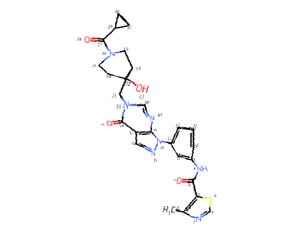 Cc1ncsc1C(=O)Nc1cccc(-n2ncc3c(=O)n(CC4(O)CCN(C(=O)C5CC5)CC4)cnc32)c1